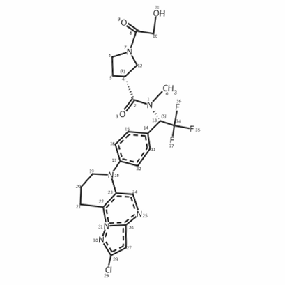 CN(C(=O)[C@@H]1CCN(C(=O)CO)C1)[C@@H](c1ccc(N2CCCc3c2cnc2cc(Cl)nn32)cc1)C(F)(F)F